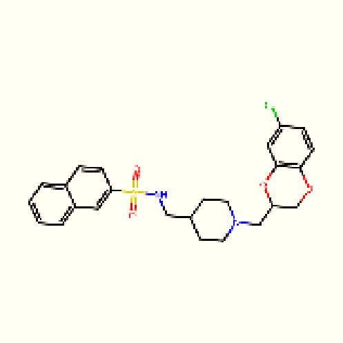 O=S(=O)(NCC1CCN(CC2COc3ccc(Cl)cc3O2)CC1)c1ccc2ccccc2c1